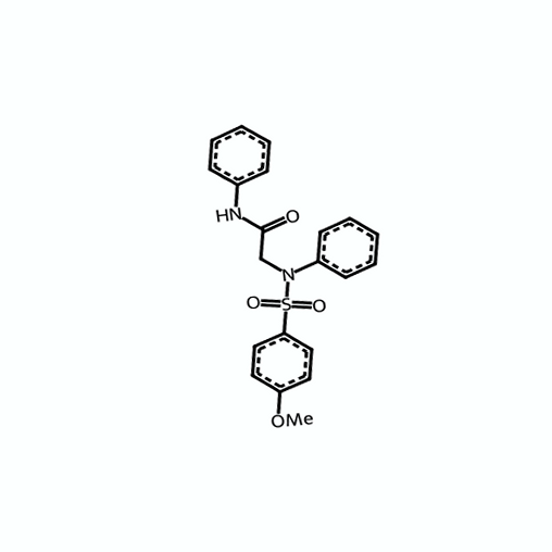 COc1ccc(S(=O)(=O)N(CC(=O)Nc2ccccc2)c2ccccc2)cc1